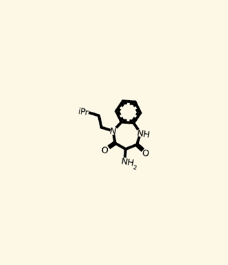 CC(C)CCN1C(=O)C(N)C(=O)Nc2ccccc21